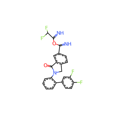 N=C(OC(=N)C(F)F)c1ccc2c(c1)C(=O)N(c1ccccc1-c1ccc(F)c(F)c1)C2